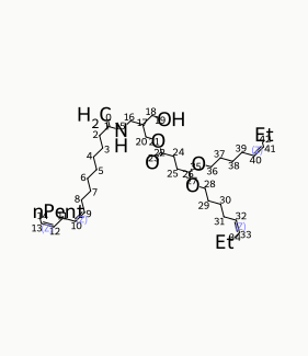 C=C(CCCCCCC/C=C\C/C=C\CCCCC)NCC(CO)COC(=O)CCC(OCCCC/C=C\CC)OCCCC/C=C\CC